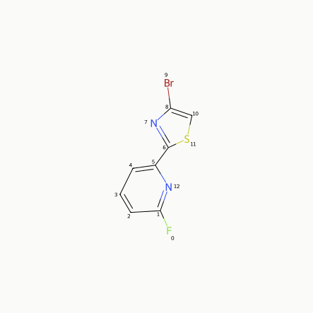 Fc1cccc(-c2nc(Br)cs2)n1